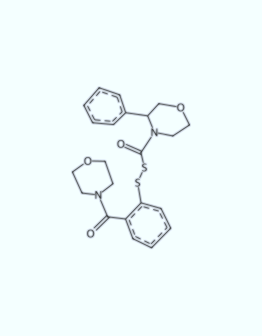 O=C(c1ccccc1SSC(=O)N1CCOCC1c1ccccc1)N1CCOCC1